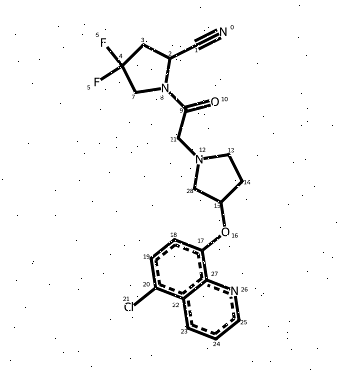 N#CC1CC(F)(F)CN1C(=O)CN1CCC(Oc2ccc(Cl)c3cccnc23)C1